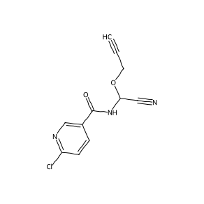 C#CCOC(C#N)NC(=O)c1ccc(Cl)nc1